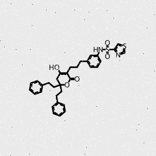 O=C1OC(CCc2ccccc2)(CCc2ccccc2)CC(O)=C1CCCc1cccc(NS(=O)(=O)c2cscn2)c1